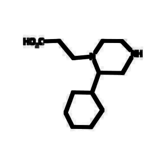 O=C(O)CCN1CCNCC1C1CCCCC1